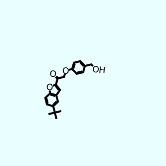 CC(C)(C)c1ccc2oc(C(=O)COc3ccc(CO)cc3)cc2c1